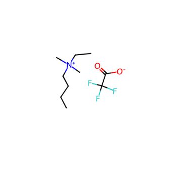 CCCC[N+](C)(C)CC.O=C([O-])C(F)(F)F